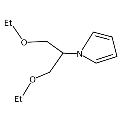 CCOCC(COCC)n1cccc1